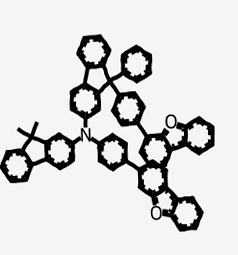 CC1(C)c2ccccc2-c2ccc(N(c3ccc(-c4ccc5c(c4)oc4ccccc45)cc3)c3ccc4c(c3)C(c3ccccc3)(c3ccc(-c5cccc6c5oc5ccccc56)cc3)c3ccccc3-4)cc21